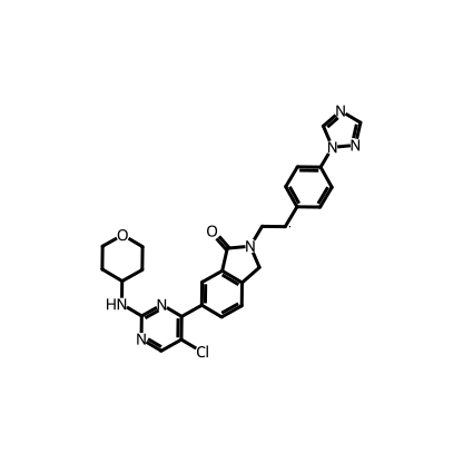 O=C1c2cc(-c3nc(NC4CCOCC4)ncc3Cl)ccc2CN1C[CH]c1ccc(-n2cncn2)cc1